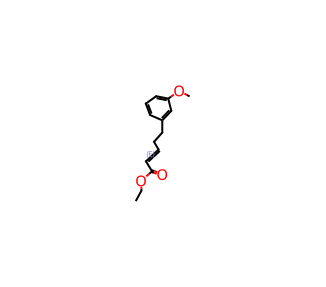 CCOC(=O)/C=C/CCc1cccc(OC)c1